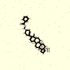 CCN[C@]12CCC[C@@H]1[C@H]1CCC3[C@@]4(C)CC=C(C5=CC[C@H](COC(=O)c6ccccc6)CC5)C(C)C4CC[C@@]3(C)[C@]1(C)CC2